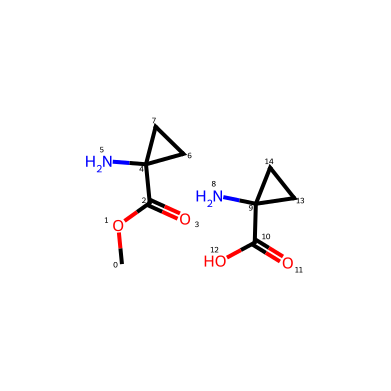 COC(=O)C1(N)CC1.NC1(C(=O)O)CC1